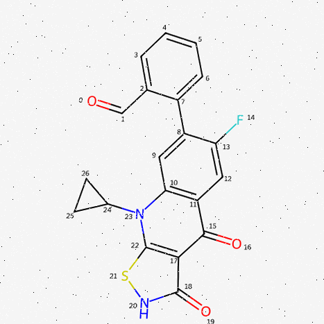 O=Cc1ccccc1-c1cc2c(cc1F)c(=O)c1c(=O)[nH]sc1n2C1CC1